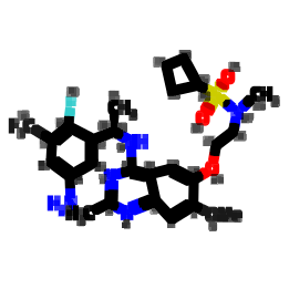 COc1cc2nc(C)nc(N[C@H](C)c3cc(N)cc(C(F)(F)F)c3F)c2cc1OCCN(C)S(=O)(=O)C1CCC1